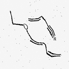 C=CC#N.C=CC=COCC